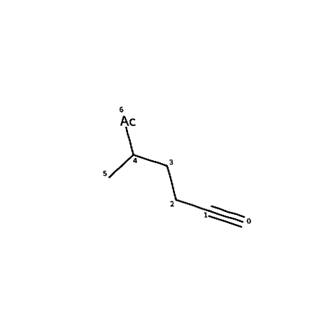 C#CCCC(C)C(C)=O